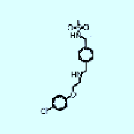 C[C@@H](NS(C)(=O)=O)c1ccc(CNCCOc2ccc(Cl)cc2)cc1